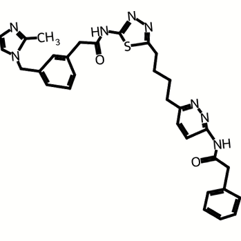 Cc1nccn1Cc1cccc(CC(=O)Nc2nnc(CCCCc3ccc(NC(=O)Cc4ccccc4)nn3)s2)c1